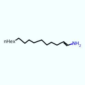 CCCCCCCCCCCCCCC=CN